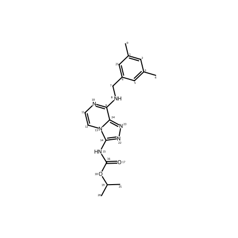 Cc1cc(C)cc(CNc2nccn3c(NC(=O)OC(C)C)nnc23)c1